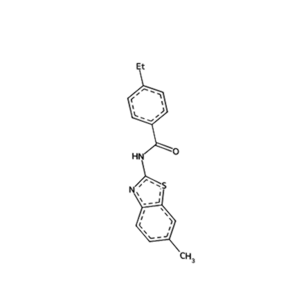 CCc1ccc(C(=O)Nc2nc3ccc(C)cc3s2)cc1